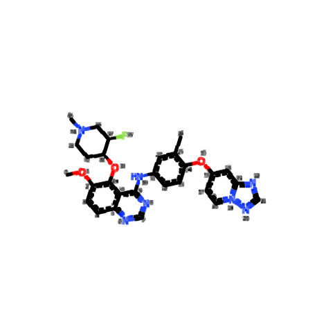 COc1ccc2ncnc(Nc3ccc(Oc4ccn5ncnc5c4)c(C)c3)c2c1O[C@H]1CCN(C)C[C@H]1F